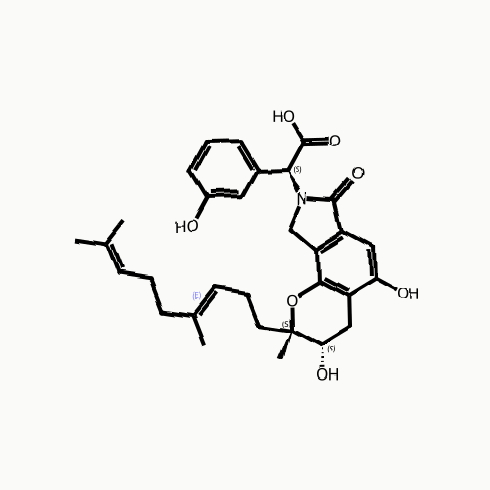 CC(C)=CCC/C(C)=C/CC[C@]1(C)Oc2c(c(O)cc3c2CN([C@H](C(=O)O)c2cccc(O)c2)C3=O)C[C@@H]1O